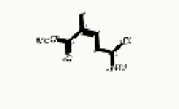 CCCCC(CC)CC=C(C)C(=O)OC